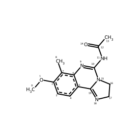 COc1ccc2c(c1C)N=C(NC(C)=O)N1CCN=C21